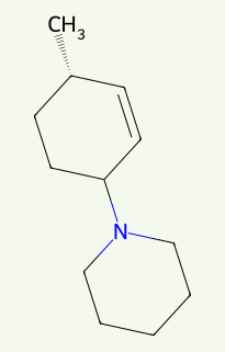 C[C@@H]1C=CC(N2CCCCC2)CC1